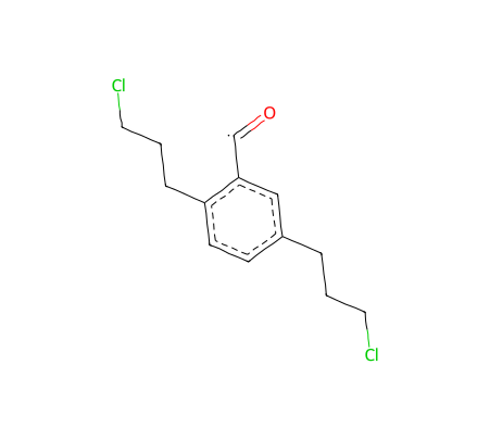 O=[C]c1cc(CCCCl)ccc1CCCCl